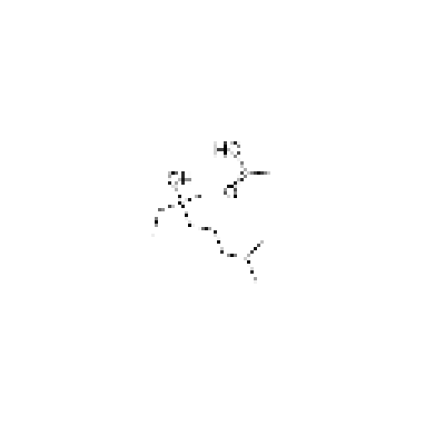 CC(=O)O.CCC(C)(O)CCCC(C)C